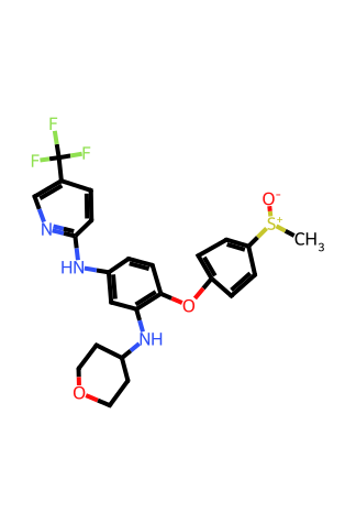 C[S+]([O-])c1ccc(Oc2ccc(Nc3ccc(C(F)(F)F)cn3)cc2NC2CCOCC2)cc1